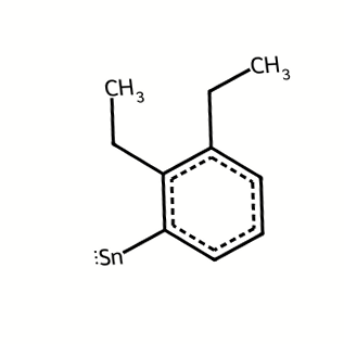 CCc1ccc[c]([Sn])c1CC